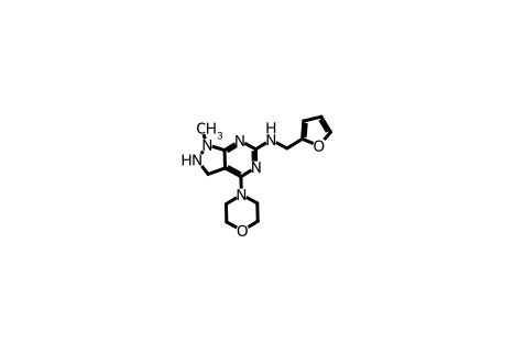 CN1NCc2c(N3CCOCC3)nc(NCc3ccco3)nc21